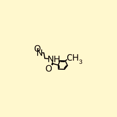 Cc1cccc(C(=O)NCCN=O)c1